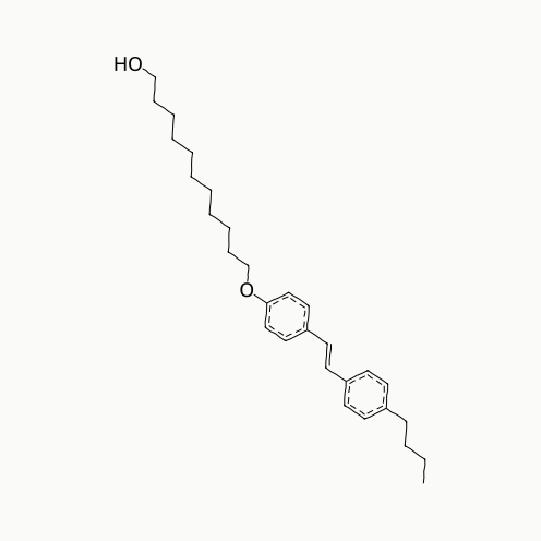 CCCCc1ccc(C=Cc2ccc(OCCCCCCCCCCCO)cc2)cc1